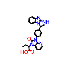 CCC(C(=O)O)n1c(=O)n(-c2ccc(C3CNc4nc5ccccc5n43)cc2)c2ncccc21